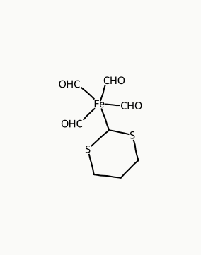 O=[CH][Fe]([CH]=O)([CH]=O)([CH]=O)[CH]1SCCCS1